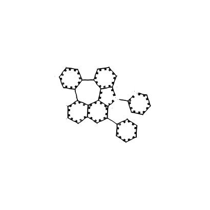 c1ccc(-c2cc3cccc4c3c3c5c(cccc5n(-c5ccccn5)c23)-c2ccccc2-4)cc1